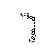 C=CC(=O)Oc1ccc2ccc(CCCCCc3ccc4ccc(OC(=O)C=C)cc4c3)cc2c1